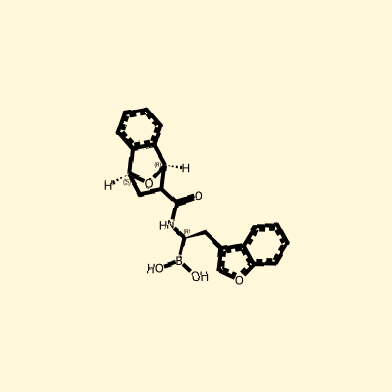 O=C(N[C@@H](Cc1coc2ccccc12)B(O)O)C1C[C@@H]2O[C@H]1c1ccccc12